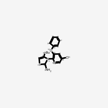 CCCCC1=CSC(N)N1c1ncc(Cl)cc1Oc1ccccc1